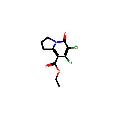 CCOC(=O)c1c(Cl)c(Cl)c(=O)n2c1CCC2